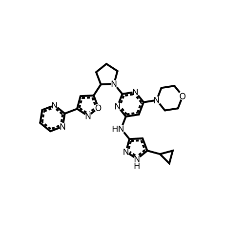 c1cnc(-c2cc(C3CCCN3c3nc(Nc4cc(C5CC5)[nH]n4)cc(N4CCOCC4)n3)on2)nc1